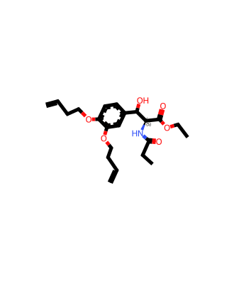 C=CCCOc1ccc(C(O)[C@H](NC(=O)CC)C(=O)OCC)cc1OCCC=C